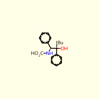 CC(C)(C)[C@@](O)(c1ccccc1)[C@@H](NC(=O)O)c1ccccc1